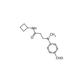 CN(CCC(=O)NC1CCC1)c1ccc(C=O)cc1